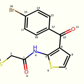 O=C(CS)Nc1sccc1C(=O)c1ccc(Br)cc1